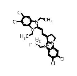 CCN1C(=CC=C2CCn3c2[n+](CC)c2cc(Cl)c(Cl)cc23)N(CC)c2cc(Cl)c(Cl)cc21.[I-]